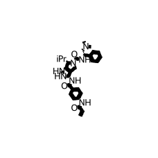 C=CC(=O)Nc1ccc(C(=O)NC2NNC3=C2CN(C(=O)N[C@H](CN(C)C)c2ccccc2)[C@@H]3C(C)C)cc1